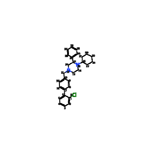 Clc1ccccc1-c1ccc(CN2CCN(C3CCCCC3)C(c3ccccc3)C2)cc1